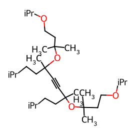 CC(C)CCC(C)(C#CC(C)(CCC(C)C)OC(C)(C)CCOC(C)C)OC(C)(C)CCOC(C)C